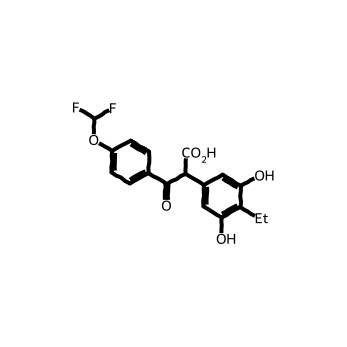 CCc1c(O)cc(C(C(=O)O)C(=O)c2ccc(OC(F)F)cc2)cc1O